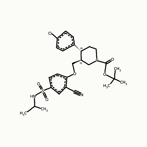 CC(C)NS(=O)(=O)c1ccc(OC[C@@H]2CN(C(=O)OC(C)(C)C)CC[C@H]2c2ccc(Cl)cc2)c(C#N)c1